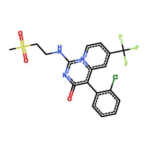 CS(=O)(=O)CCNc1nc(=O)c(-c2ccccc2Cl)c2cc(C(F)(F)F)ccn12